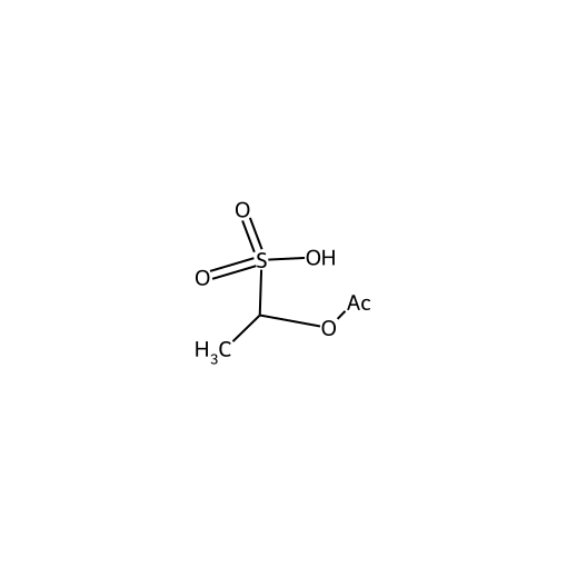 CC(=O)OC(C)S(=O)(=O)O